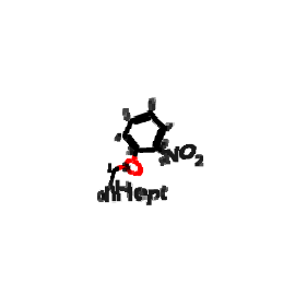 [CH2]CCCCCCCOc1ccccc1[N+](=O)[O-]